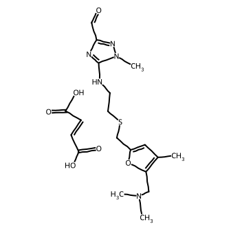 Cc1cc(CSCCNc2nc(C=O)nn2C)oc1CN(C)C.O=C(O)/C=C/C(=O)O